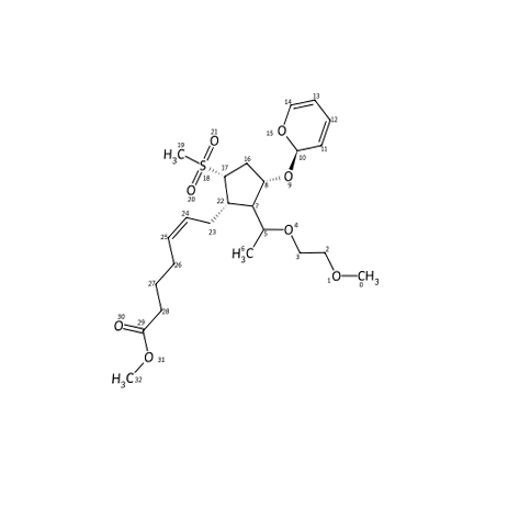 COCCOC(C)C1[C@@H](O[C@@H]2C=CC=CO2)C[C@@H](S(C)(=O)=O)[C@H]1C/C=C\CCCC(=O)OC